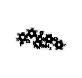 Nc1ncnc2c1n(-c1ccc(Oc3ccccc3)cc1)c(=O)n2-c1cccc(-n2cccc(F)c2=O)c1